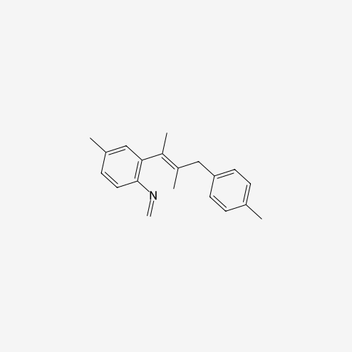 C=Nc1ccc(C)cc1/C(C)=C(\C)Cc1ccc(C)cc1